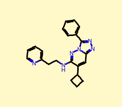 c1ccc(-c2nnc3cc(C4CCC4)c(NCCc4ccccn4)nn23)cc1